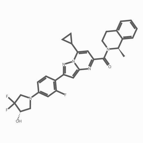 C[C@@H]1c2ccccc2CCN1C(=O)c1cc(C2CC2)n2nc(-c3ccc(N4C[C@H](O)C(F)(F)C4)cc3F)cc2n1